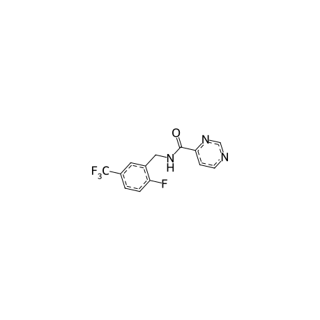 O=C(NCc1cc(C(F)(F)F)ccc1F)c1ccncn1